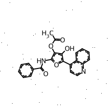 CC(=O)Oc1c(NC(=O)c2ccccc2)oc(-c2ccnc3ccccc23)c1O